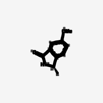 COc1ccc2c(c1)C(=O)N[C@H]2C